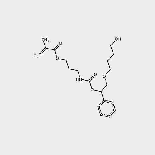 C=C(C)C(=O)OCCCNC(=O)OC(COCCCCO)c1ccccc1